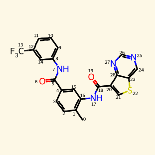 Cc1ccc(C(=O)Nc2cccc(C(F)(F)F)c2)cc1NC(=O)c1csc2cncnc12